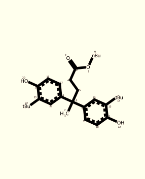 CCCCOC(=O)CCC(C)(c1ccc(O)c(C(C)(C)C)c1)c1ccc(O)c(C(C)(C)C)c1